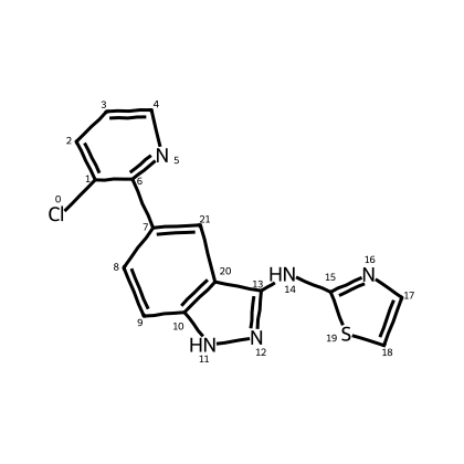 Clc1cccnc1-c1ccc2[nH]nc(Nc3nccs3)c2c1